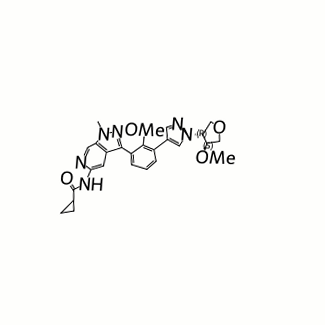 COc1c(-c2cnn([C@@H]3COC[C@H]3OC)c2)cccc1-c1nn(C)c2cnc(NC(=O)C3CC3)cc12